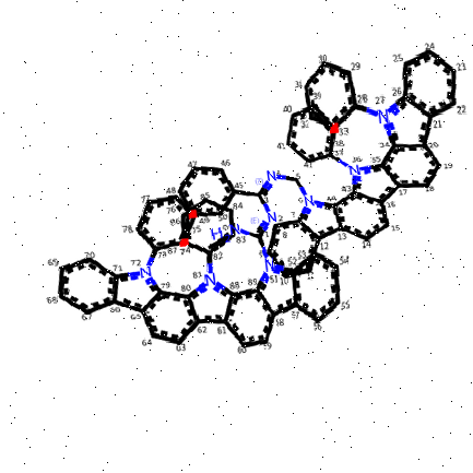 N/C(=N\C(=N/Cn1c2ccccc2c2ccc3c4ccc5c6ccccc6n(-c6ccccc6)c5c4n(-c4ccccc4)c3c21)c1ccccc1)n1c2ccccc2c2ccc3c4ccc5c6ccccc6n(-c6ccccc6)c5c4n(C4=CCCC=C4)c3c21